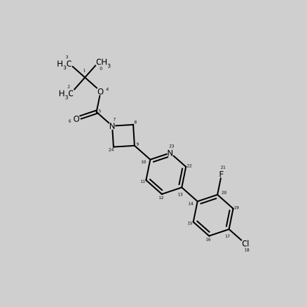 CC(C)(C)OC(=O)N1CC(c2ccc(-c3ccc(Cl)cc3F)cn2)C1